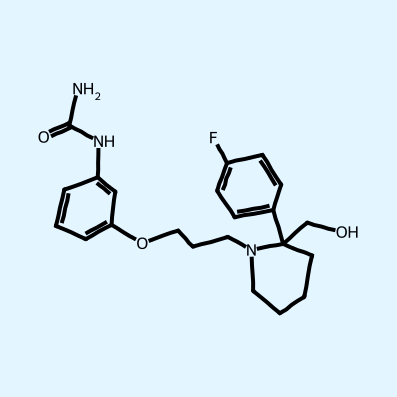 NC(=O)Nc1cccc(OCCCN2CCCCC2(CO)c2ccc(F)cc2)c1